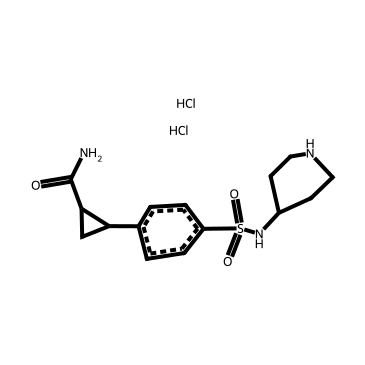 Cl.Cl.NC(=O)C1CC1c1ccc(S(=O)(=O)NC2CCNCC2)cc1